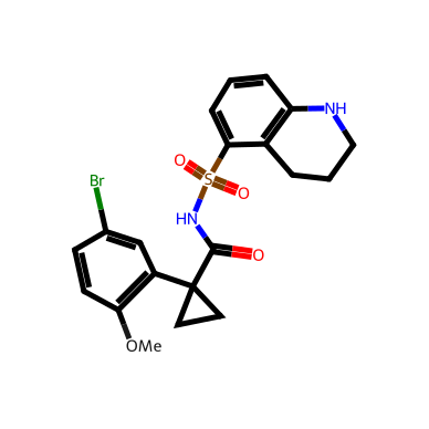 COc1ccc(Br)cc1C1(C(=O)NS(=O)(=O)c2cccc3c2CCCN3)CC1